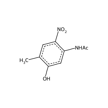 CC(=O)Nc1cc(O)c(C)cc1[N+](=O)[O-]